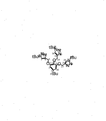 CC(C)(C)c1cc(OCc2cn(C(C)(C)C)nn2)c(OCc2cn(C(C)(C)C)nn2)c(OCc2cn(C(C)(C)C)nn2)c1